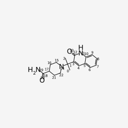 CC(C)(c1cc2ccccc2[nH]c1=O)N1CCC(C(N)=O)CC1